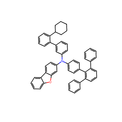 c1ccc(-c2cccc(-c3ccccc3)c2-c2ccc(N(c3cccc(-c4ccccc4C4CCCCC4)c3)c3ccc4c(c3)oc3ccccc34)cc2)cc1